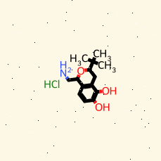 CC(C)(C)C1Cc2c(ccc(O)c2O)C(CN)O1.Cl